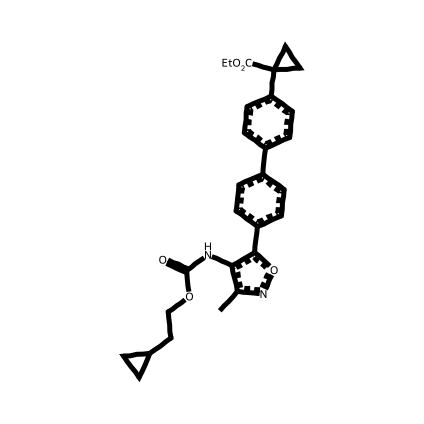 CCOC(=O)C1(c2ccc(-c3ccc(-c4onc(C)c4NC(=O)OCCC4CC4)cc3)cc2)CC1